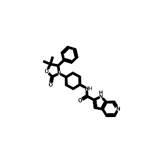 CC1(C)OC(=O)N(C2CCC(NC(=O)c3cc4ccncc4[nH]3)CC2)C1c1ccccc1